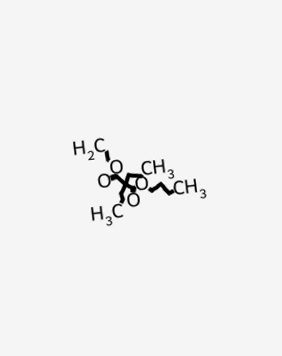 C=CCOC(=O)C(CCC)(CCC)C(=O)OCCCC